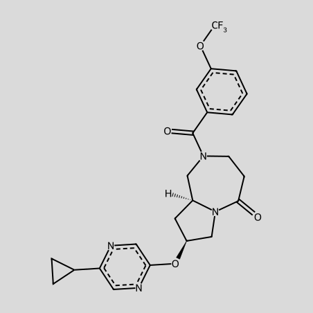 O=C(c1cccc(OC(F)(F)F)c1)N1CCC(=O)N2C[C@@H](Oc3cnc(C4CC4)cn3)C[C@H]2C1